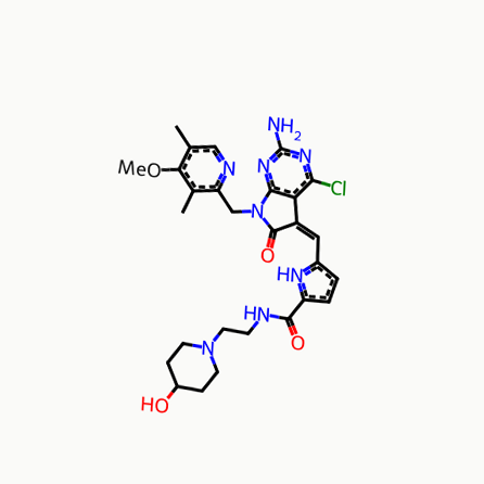 COc1c(C)cnc(CN2C(=O)C(=Cc3ccc(C(=O)NCCN4CCC(O)CC4)[nH]3)c3c(Cl)nc(N)nc32)c1C